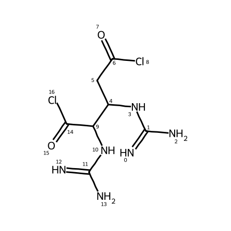 N=C(N)NC(CC(=O)Cl)C(NC(=N)N)C(=O)Cl